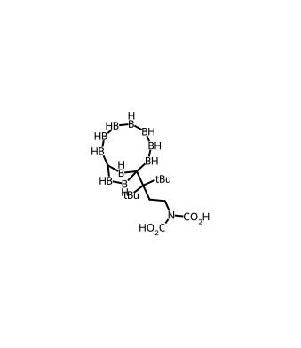 CC(C)(C)C(CCN(C(=O)O)C(=O)O)(C(C)(C)C)C12BBBBBBBC(BB1)B2